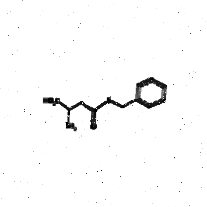 NC(CC(=O)SCc1ccccc1)C(=O)O